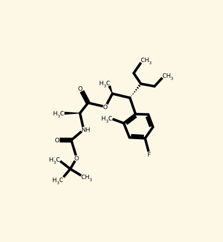 CCC(CC)[C@H](c1ccc(F)cc1C)[C@H](C)OC(=O)[C@H](C)NC(=O)OC(C)(C)C